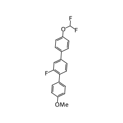 COc1ccc(-c2ccc(-c3ccc(OC(F)F)cc3)cc2F)cc1